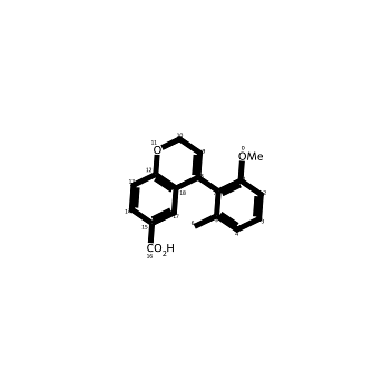 COc1cccc(C)c1C1=CCOc2ccc(C(=O)O)cc21